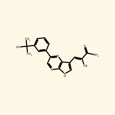 CC(C)(O)c1cccc(-c2cnc3[nH]cc(/C=C(\C#N)C(N)=O)c3n2)c1